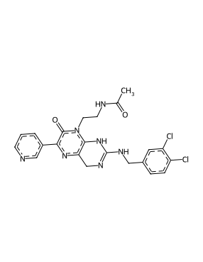 CC(=O)NCCn1c2c(nc(-c3cccnc3)c1=O)CN=C(NCc1ccc(Cl)c(Cl)c1)N2